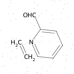 C=C.O=Cc1ccccn1